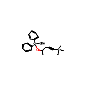 CC(CC#C[Si](C)(C)C)O[Si](c1ccccc1)(c1ccccc1)C(C)(C)C